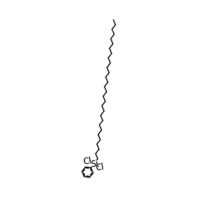 CCCCCCCCCCCCCCCCCCCCCCCCCCCCCC[Si](Cl)(Cl)c1ccccc1